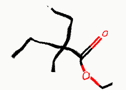 [CH2]CC(C)(CC)C(=O)OC